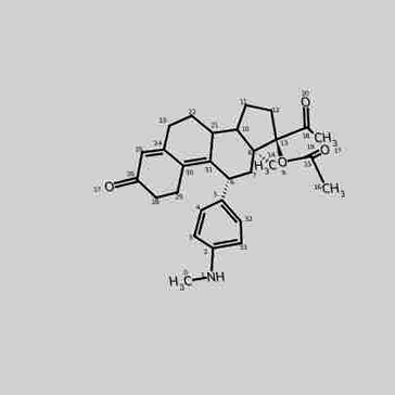 CNc1ccc([C@H]2C[C@@]3(C)C(CC[C@]3(OC(C)=O)C(C)=O)C3CCC4=CC(=O)CCC4=C32)cc1